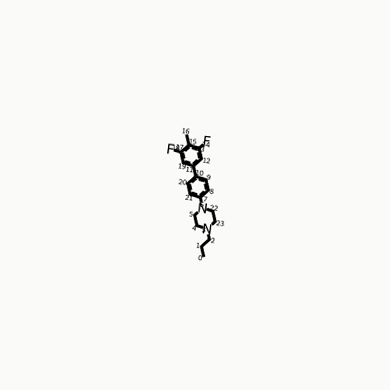 CCCN1CCN(c2ccc(-c3cc(F)c(C)c(F)c3)cc2)CC1